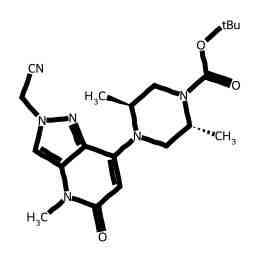 C[C@@H]1CN(c2cc(=O)n(C)c3cn(CC#N)nc23)[C@@H](C)CN1C(=O)OC(C)(C)C